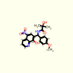 COc1ccc(C(NC(=O)C(C)(C)O)c2cc([N+](=O)[O-])c3cccnc3c2O)cc1